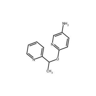 CC(Oc1ccc(N)cn1)c1ccccn1